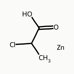 CC(Cl)C(=O)O.[Zn]